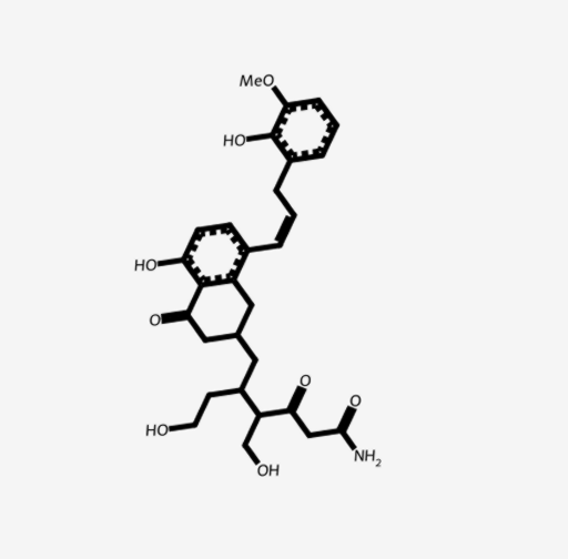 COc1cccc(C/C=C\c2ccc(O)c3c2CC(CC(CCO)C(CO)C(=O)CC(N)=O)CC3=O)c1O